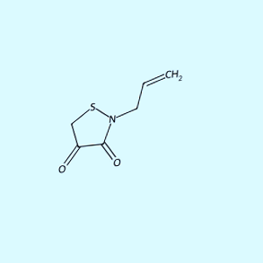 C=CCN1SCC(=O)C1=O